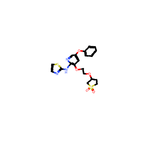 O=S1(=O)CCC(OCCOc2cc(Oc3ccccc3)cnc2Nc2nccs2)C1